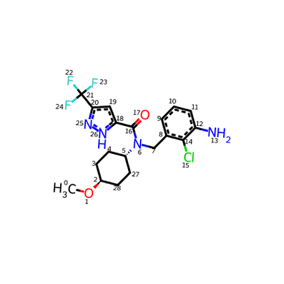 CO[C@H]1CC[C@H](N(Cc2cccc(N)c2Cl)C(=O)c2cc(C(F)(F)F)n[nH]2)CC1